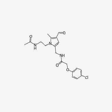 CC(=O)NCCn1c(CNC(=O)COc2ccc(Cl)cc2)cc(C=O)c1C